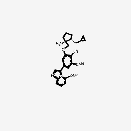 COc1cc(-c2cnc3cccc(OC)n23)cc(OC[C@]2(N)CCC[C@@H]2CC2CC2)c1C#N